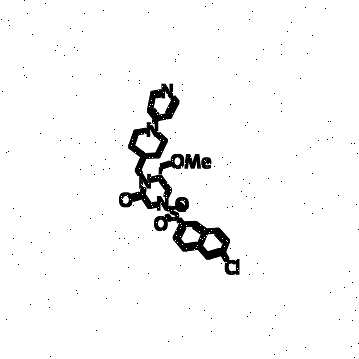 COC[C@@H]1CN(S(=O)(=O)c2ccc3cc(Cl)ccc3c2)CC(=O)N1CC1CCN(c2ccncc2)CC1